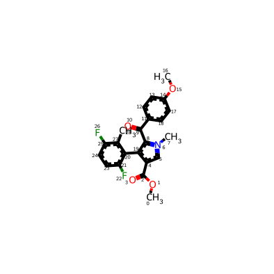 COC(=O)c1cn(C)c(C(=O)c2ccc(OC)cc2)c1-c1c(F)ccc(F)c1C